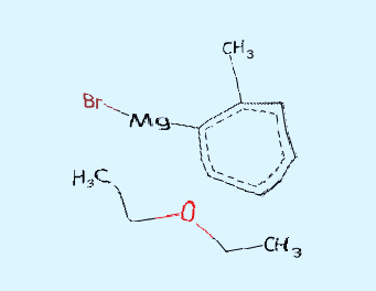 CCOCC.Cc1cccc[c]1[Mg][Br]